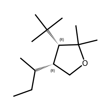 CCC(C)[C@H]1COC(C)(C)[C@H]1C(C)(C)C